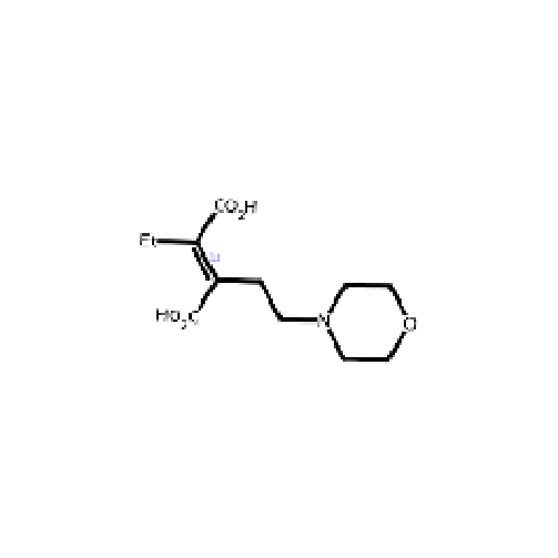 CC/C(C(=O)O)=C(/CCN1CCOCC1)C(=O)O